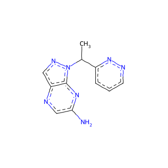 CC(c1cccnn1)n1ncc2ncc(N)nc21